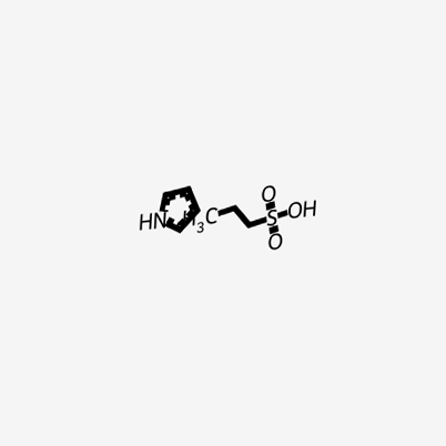 CCCS(=O)(=O)O.c1cc[nH]c1